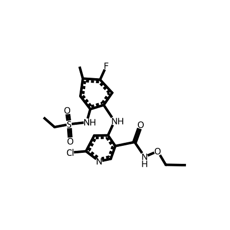 CCONC(=O)c1cnc(Cl)cc1Nc1cc(F)c(C)cc1NS(=O)(=O)CC